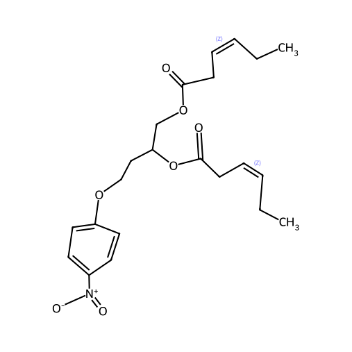 CC/C=C\CC(=O)OCC(CCOc1ccc([N+](=O)[O-])cc1)OC(=O)C/C=C\CC